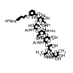 CCCCCCC#CCCCOc1cccc(C(=O)N[C@@H]2C(O[C@H]3C(O)C(NC(C)=O)[C@H](OC4C(CO)O[C@@H](O[C@H]5C(O)C(NC(C)=O)[C@H](OC(CO)C(CO[C@@H]6OC(C)C(O)[C@H](O)[C@H]6O)OC(O)[C@H](C)NC(C)=O)O[C@H]5CO)[C@@H](NC(C)=O)[C@H]4O)O[C@H]3CO)OC(CO)[C@@H](O)[C@@H]2O)c1